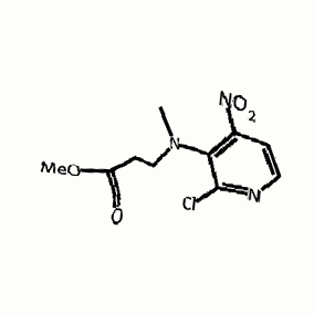 COC(=O)CCN(C)c1c([N+](=O)[O-])ccnc1Cl